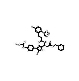 COC(=O)Nc1ccc(-c2nc([C@H](CC(=O)OCc3ccccc3)NC(=O)CCc3cc(Cl)ccc3-n3cnnn3)[nH]c2Cl)cc1